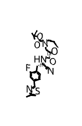 Cc1csc(-c2ccc(C[C@@H](C#N)NC(=O)[C@@H]3CN(C(=O)OC(C)(C)C)CCCO3)c(F)c2)n1